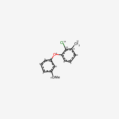 COc1cccc(Oc2cccc(C(F)(F)F)c2Cl)c1